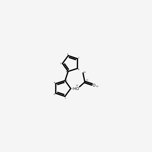 C1=CCC(C2=CC=CC2)=C1.CC(=O)O